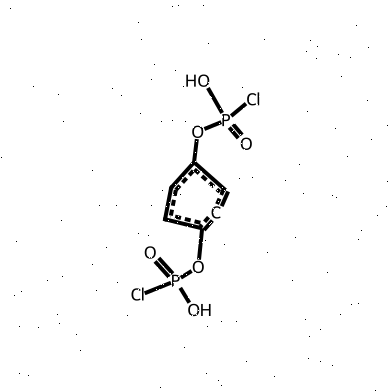 O=P(O)(Cl)Oc1ccc(OP(=O)(O)Cl)cc1